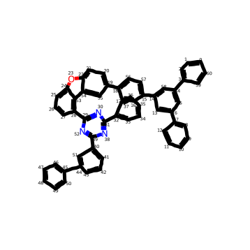 c1ccc(-c2cc(-c3ccccc3)cc(-c3ccc(-c4ccc5oc6cccc(-c7nc(-c8ccccc8)nc(-c8cccc(-c9ccccc9)c8)n7)c6c5c4)cc3)c2)cc1